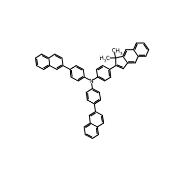 CC1(C)C(c2ccc(N(c3ccc(-c4ccc5ccccc5c4)cc3)c3ccc(-c4ccc5ccccc5c4)cc3)cc2)=Cc2cc3ccccc3cc21